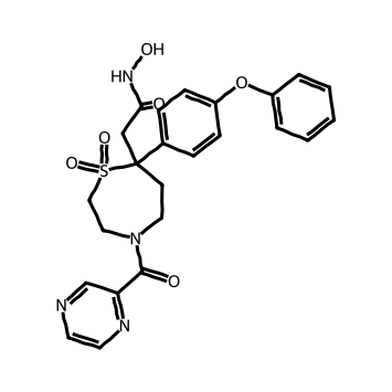 O=C(CC1(c2ccc(Oc3ccccc3)cc2)CCN(C(=O)c2cnccn2)CCS1(=O)=O)NO